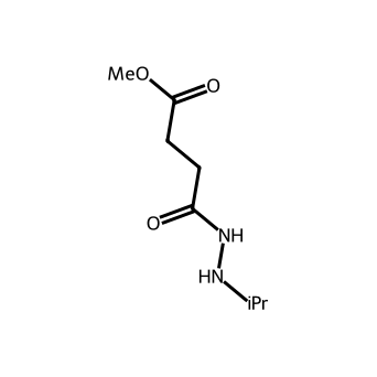 COC(=O)CCC(=O)NNC(C)C